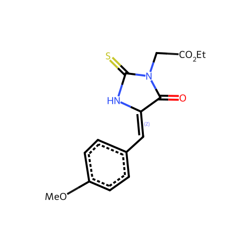 CCOC(=O)CN1C(=O)/C(=C/c2ccc(OC)cc2)NC1=S